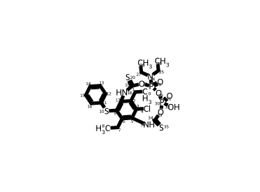 CCc1c(Cl)c2c(CC)c(Sc3ccccc3)c1NC(=S)OP(=O)(N(CC)CC)OP(=O)(O)OC(=S)N2